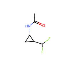 CC(=O)N[C@H]1CC1C(F)F